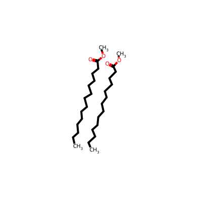 CCCCCCCCCCCCCC(=O)OC.CCCCCCCCCCCCCC(=O)OC